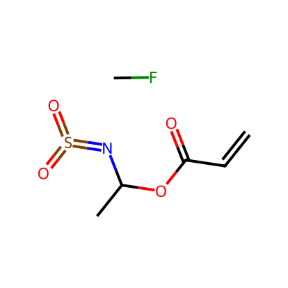 C=CC(=O)OC(C)N=S(=O)=O.CF